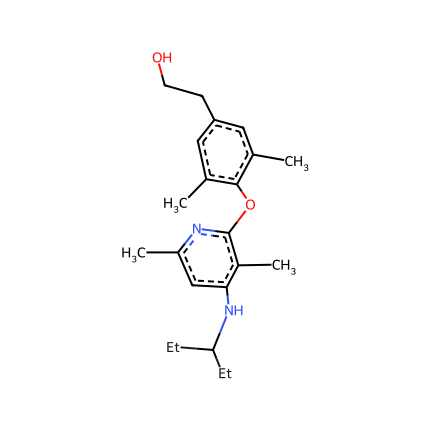 CCC(CC)Nc1cc(C)nc(Oc2c(C)cc(CCO)cc2C)c1C